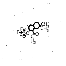 CC(=O)c1c(OS(=O)(=O)C(F)(F)F)ccc2c1CC(C)(C)CC2